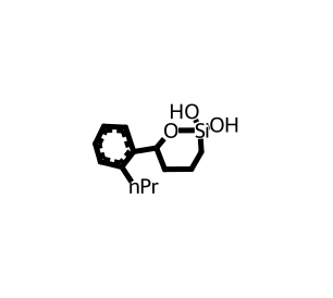 CCCc1ccccc1C1CCC[Si](O)(O)O1